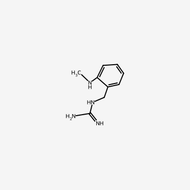 CNc1ccccc1CNC(=N)N